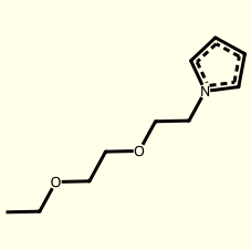 CCOCCOCCn1cccc1